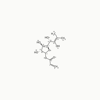 C=CC(=O)OC1O[C@H]([C@H](O)C(O)=C(C)C)[C@H](O)[C@H]1O